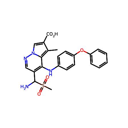 Cc1c(C(=O)O)cn2ncc(C(N)S(C)(=O)=O)c(Nc3ccc(Oc4ccccc4)cc3)c12